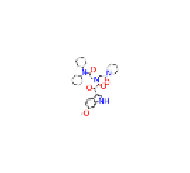 COc1ccc2c(C(=O)C(=O)N(CC(=O)N3CCCCC3)CC(=O)N(C3CCCCC3)C3CCCCC3)c[nH]c2c1